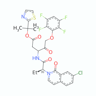 CC[C@@H](C(=O)NC(CC(=O)OC(C)(C)c1nccs1)C(=O)COc1c(F)c(F)cc(F)c1F)n1ccc2ccc(Cl)cc2c1=O